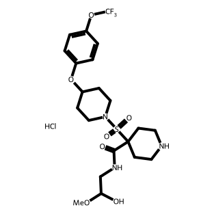 COC(O)CNC(=O)C1(S(=O)(=O)N2CCC(Oc3ccc(OC(F)(F)F)cc3)CC2)CCNCC1.Cl